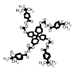 CC(C)(C)c1ccc(C(=O)OOC(=O)OC2CCC(C(C3CCC(OC(=O)OOC(=O)c4ccc(C(C)(C)C)cc4)CC3)(C3CCC(OC(=O)OOC(=O)c4ccc(C(C)(C)C)cc4)CC3)C3CCC(OC(=O)OOC(=O)c4ccc(C(C)(C)C)cc4)CC3)CC2)cc1